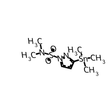 CN(C)S(=O)(=O)n1cc[c]([Sn]([CH3])([CH3])[CH3])n1